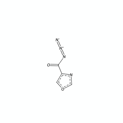 [N-]=[N+]=NC(=O)c1cocn1